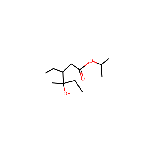 CCC(CC(=O)OC(C)C)C(C)(O)CC